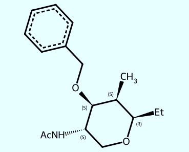 CC[C@H]1OC[C@H](NC(C)=O)[C@@H](OCc2ccccc2)[C@H]1C